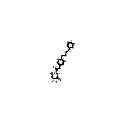 C[C@@H]1CNN(C(=O)Cc2ccc(CCCCc3ccccc3)cc2)OC1=O